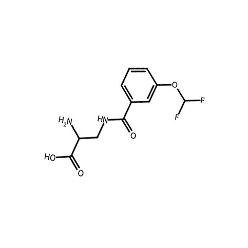 NC(CNC(=O)c1cccc(OC(F)F)c1)C(=O)O